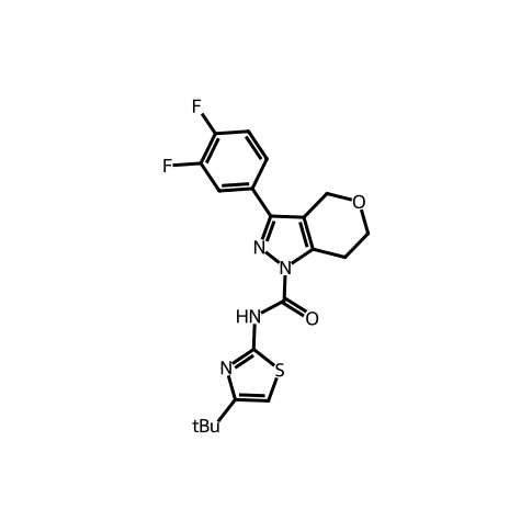 CC(C)(C)c1csc(NC(=O)n2nc(-c3ccc(F)c(F)c3)c3c2CCOC3)n1